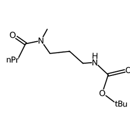 CCCC(=O)N(C)CCCNC(=O)OC(C)(C)C